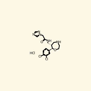 Cl.O=C(Cn1cncn1)NC[C@@H]1CNCCO[C@H]1c1ccc(Cl)c(Cl)c1